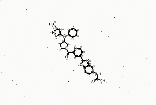 CC(=O)Nc1ccc2oc(-c3ccnc(C(=O)N4CCC(N(c5ccccc5)c5nnn(C)n5)C4)c3)nc2c1